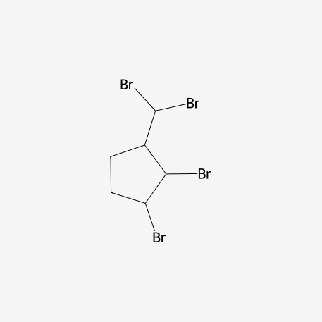 BrC(Br)C1CCC(Br)C1Br